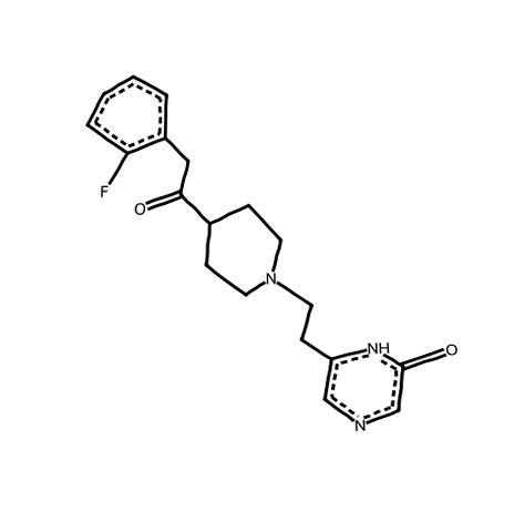 O=C(Cc1ccccc1F)C1CCN(CCc2cncc(=O)[nH]2)CC1